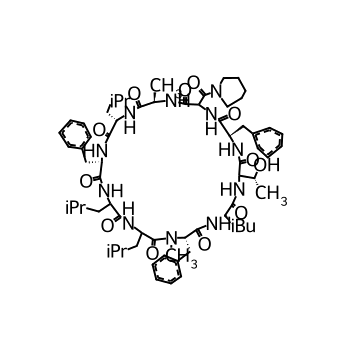 CC[C@H](C)[C@@H]1NC(=O)[C@H](Cc2ccccc2)N(C)C(=O)C(CC(C)C)NC(=O)C(CC(C)C)NC(=O)[C@H](Cc2ccccc2)NC(=O)[C@H](CC(C)C)NC(=O)[C@@H](C)NC(=O)C(C(=O)N2CCCCC2)NC(=O)[C@@H](Cc2ccccc2)NC(=O)C([C@@H](C)O)NC1=O